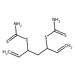 C=CC(CC(C=C)SC(N)=S)SC(N)=S